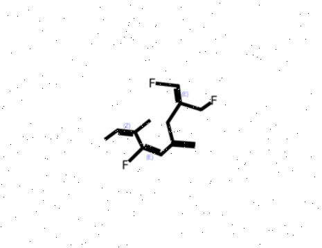 C=C(/C=C(F)\C(C)=C/C)C/C(=C\F)CF